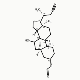 C[C@H](CC#N)[C@H]1CC[C@H]2[C@@H]3C(O)C[C@@H]4C[C@H](OC=O)CC[C@]4(C)[C@H]3CC[C@]12C